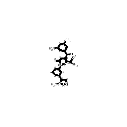 CC(c1cc(N)cc(C(F)(F)F)c1)c1cc(=O)n(-c2cccc(-c3cnnn3C)c2)nc1C(N)=O